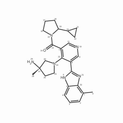 Cc1cccc2[nH]c(-c3cncc(C(=O)N4CCCC4C4CC4)c3N3CC[C@](C)(N)C3)nc12